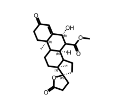 COC(=O)C1[C@@H]2C(CC[C@@]3(C)C2CC[C@@]32CCC(=O)O2)[C@@]2(C)CCC(=O)C=C2[C@@H]1O